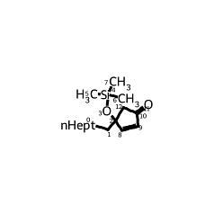 CCCCCCCCC1(O[Si](C)(C)C)C=CC(=O)C1